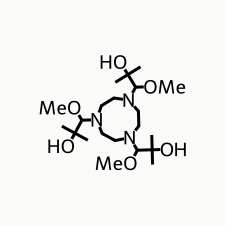 COC(N1CCN(C(OC)C(C)(C)O)CCN(C(OC)C(C)(C)O)CC1)C(C)(C)O